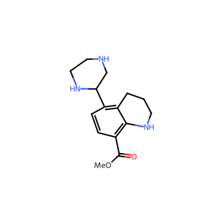 COC(=O)c1ccc(C2CNCCN2)c2c1NCCC2